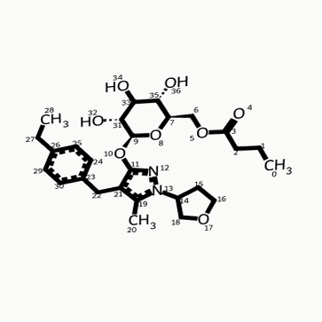 CCCC(=O)OC[C@H]1O[C@@H](Oc2nn(C3CCOC3)c(C)c2Cc2ccc(CC)cc2)[C@H](O)C(O)[C@@H]1O